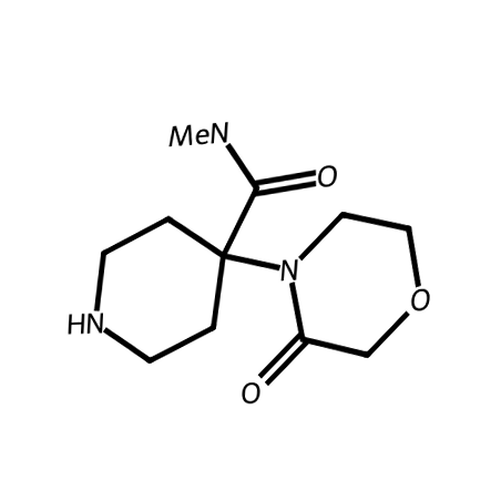 CNC(=O)C1(N2CCOCC2=O)CCNCC1